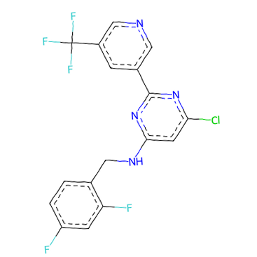 Fc1ccc(CNc2cc(Cl)nc(-c3cncc(C(F)(F)F)c3)n2)c(F)c1